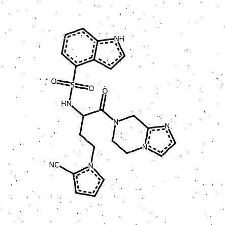 N#Cc1cccn1CCC(NS(=O)(=O)c1cccc2[nH]ccc12)C(=O)N1CCn2ccnc2C1